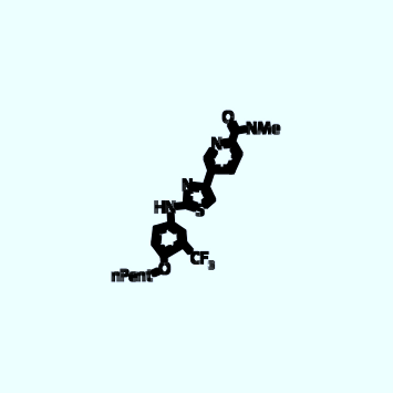 CCCCCOc1ccc(Nc2nc(-c3ccc(C(=O)NC)nc3)cs2)cc1C(F)(F)F